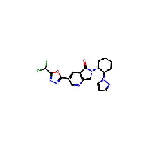 O=C1c2cc(-c3nnc(C(F)F)o3)cnc2CN1[C@H]1CCCCC1n1cccn1